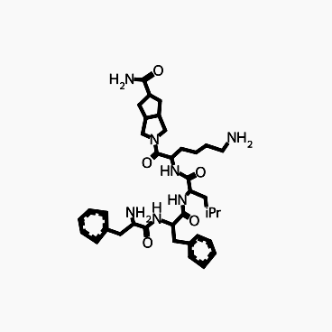 CC(C)CC(NC(=O)C(Cc1ccccc1)NC(=O)C(N)Cc1ccccc1)C(=O)NC(CCCCN)C(=O)N1CC2CC(C(N)=O)CC2C1